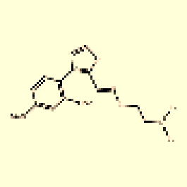 CCN(CC)CCON=Cc1occc1-c1ccc(OC)cc1OC